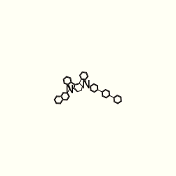 C1=c2c(c3ccccc3n2-c2ccc3ccccc3c2)=C2c3ccccc3N(c3ccc(-c4ccc(-c5ccccc5)cc4)cc3)C2C1